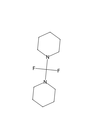 FC(F)(N1CCCCC1)N1CCCCC1